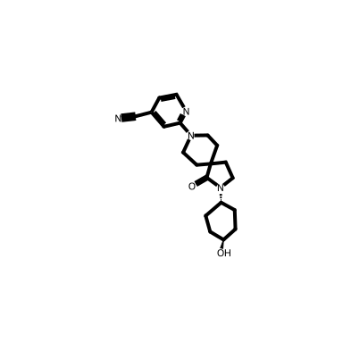 N#Cc1ccnc(N2CCC3(CC2)CCN([C@H]2CC[C@H](O)CC2)C3=O)c1